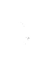 Cc1ccc(CCCCCCCC(=O)N2C(=O)OC[C@@H]2Cc2ccccc2)cc1